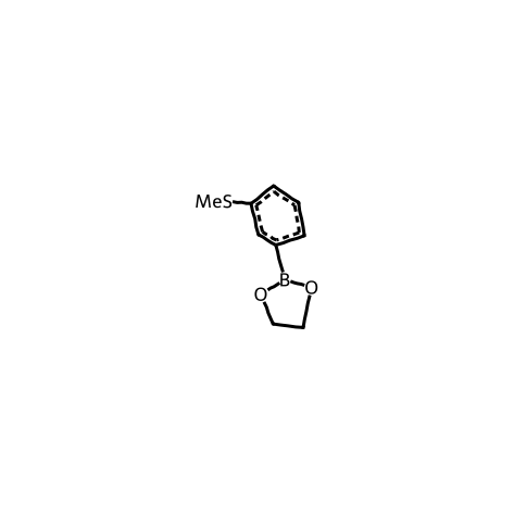 CSc1cccc(B2OCCO2)c1